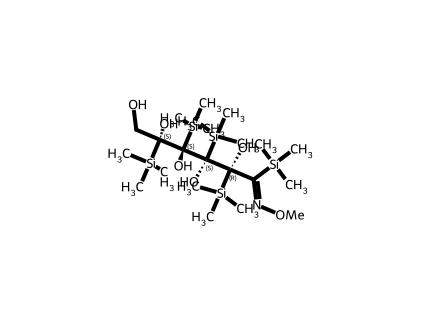 CON=C([C@](O)([C@@](O)([C@](O)([C@](O)(CO)[Si](C)(C)C)[Si](C)(C)C)[Si](C)(C)C)[Si](C)(C)C)[Si](C)(C)C